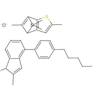 CC1=C2c3sc(C)cc3C1[Si]2(C)C.CCCCCc1ccc(-c2cccc3c2C=C(C)[CH]3[Zr+2])cc1.[Cl-].[Cl-]